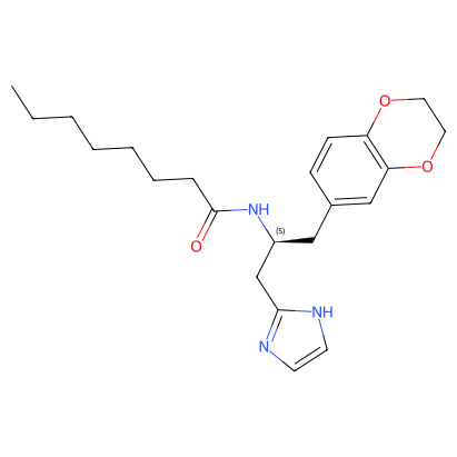 CCCCCCCC(=O)N[C@@H](Cc1ccc2c(c1)OCCO2)Cc1ncc[nH]1